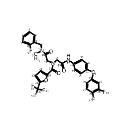 CN(Cc1ccccc1F)C(=O)CN(CC(=O)Nc1ccc(Oc2ccc(F)c(F)c2)cc1)C(=O)c1ccc(C(F)(F)F)o1